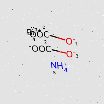 O=C([O-])[O-].O=C([O-])[O-].[Bi+3].[NH4+]